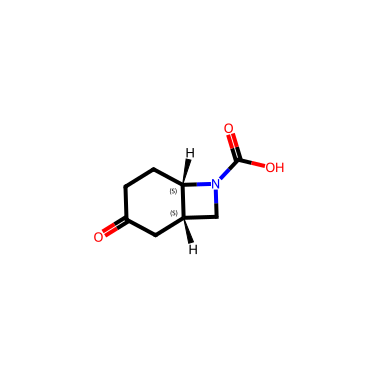 O=C1CC[C@H]2[C@@H](C1)CN2C(=O)O